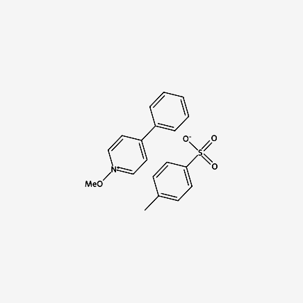 CO[n+]1ccc(-c2ccccc2)cc1.Cc1ccc(S(=O)(=O)[O-])cc1